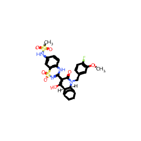 COc1cc(CN2C(=O)C(C3=NS(=O)(=O)c4cc(NS(C)(=O)=O)ccc4N3)=C(O)[C@@H]3C4CCC(CC4)[C@@H]32)ccc1F